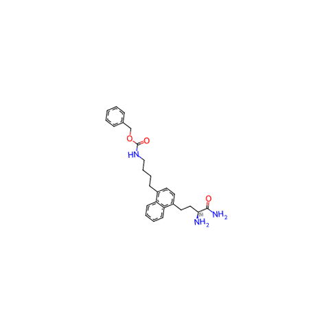 NC(=O)[C@@H](N)CCc1ccc(CCCCNC(=O)OCc2ccccc2)c2ccccc12